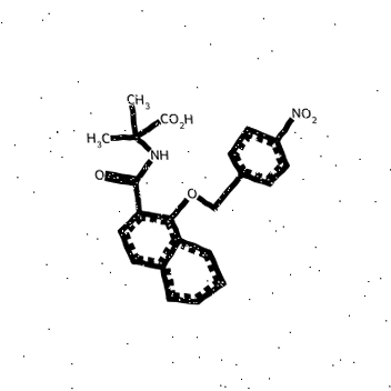 CC(C)(NC(=O)c1ccc2ccccc2c1OCc1ccc([N+](=O)[O-])cc1)C(=O)O